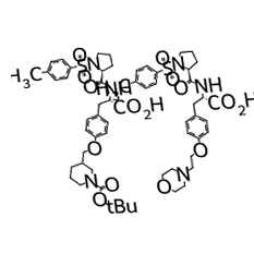 Cc1ccc(S(=O)(=O)N2CCC[C@H]2C(=O)N[C@@H](Cc2ccc(OCC3CCCN(C(=O)OC(C)(C)C)C3)cc2)C(=O)O)cc1.Cc1ccc(S(=O)(=O)N2CCC[C@H]2C(=O)N[C@@H](Cc2ccc(OCCN3CCOCC3)cc2)C(=O)O)cc1